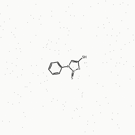 S=[n+]1sc(S)cn1-c1ccccc1